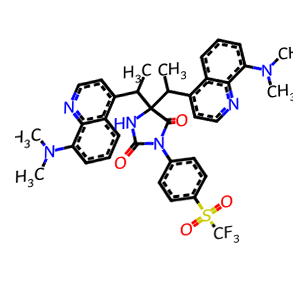 CC(c1ccnc2c(N(C)C)cccc12)C1(C(C)c2ccnc3c(N(C)C)cccc23)NC(=O)N(c2ccc(S(=O)(=O)C(F)(F)F)cc2)C1=O